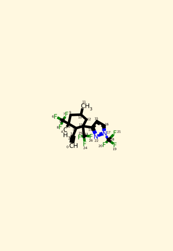 C#CC1C(C)(C(F)(F)F)CC(C)CC1(c1ccn(C(F)(F)F)n1)C(F)(F)F